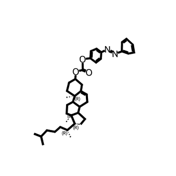 CC(C)CCC[C@@H](C)[C@H]1CCC2C3CC=C4CC(OC(=O)Oc5ccc(N=Nc6ccccc6)cc5)CC[C@]4(C)C3CC[C@@]21C